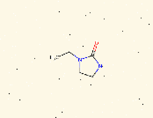 CCN1CC[N]C1=O